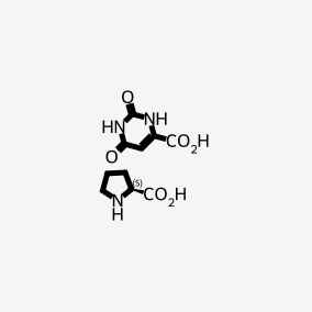 O=C(O)[C@@H]1CCCN1.O=C(O)c1cc(=O)[nH]c(=O)[nH]1